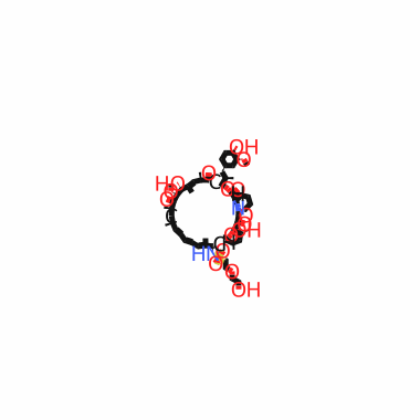 CO[C@@H]1C[C@H](C[C@@H](C)[C@@H]2CC(=O)[C@H](C)/C=C(\C)[C@@H](O)[C@@H](OC)C(=O)[C@H](C)C[C@H](C)/C=C/C=C/C=C(\C)[C@@H](NS(=O)(=O)CCOCCO)C[C@@H]3CC[C@@H](C)[C@@](O)(O3)C(=O)C(=O)N3CCCC[C@H]3C(=O)O2)CC[C@H]1O